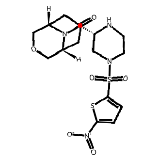 O=C1C[C@H]2COC[C@@H](C1)N2C[C@H]1CN(S(=O)(=O)c2ccc([N+](=O)[O-])s2)CCN1